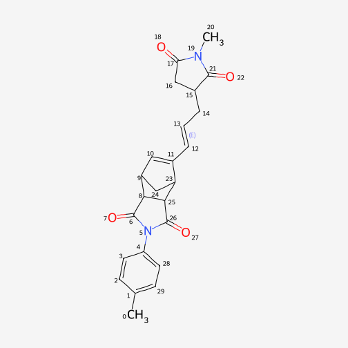 Cc1ccc(N2C(=O)C3C4C=C(/C=C/CC5CC(=O)N(C)C5=O)C(C4)C3C2=O)cc1